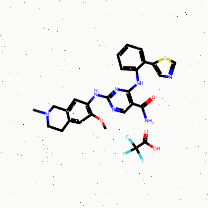 COc1cc2c(cc1Nc1ncc(C(N)=O)c(Nc3ccccc3-c3cncs3)n1)CN(C)CC2.O=C(O)C(F)(F)F